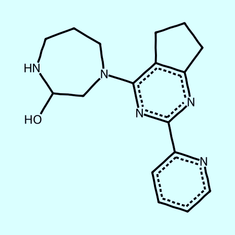 OC1CN(c2nc(-c3ccccn3)nc3c2CCC3)CCCN1